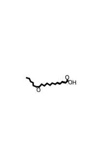 CCCCCC1OC1CCCCCCC=CC=CC(=O)O